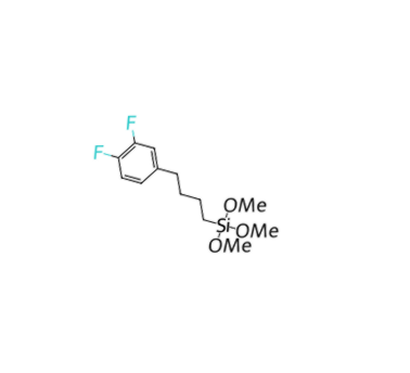 CO[Si](CCCCc1ccc(F)c(F)c1)(OC)OC